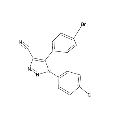 N#Cc1nnn(-c2ccc(Cl)cc2)c1-c1ccc(Br)cc1